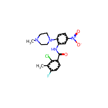 Cc1c(F)ccc(C(=O)Nc2cc([N+](=O)[O-])ccc2N2CCN(C)CC2)c1Cl